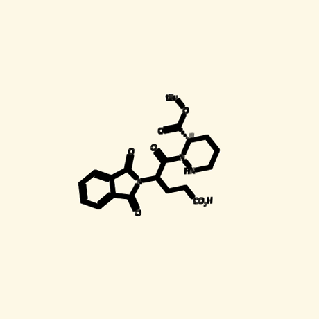 CC(C)(C)OC(=O)[C@@H]1CCCNN1C(=O)C(CCC(=O)O)N1C(=O)c2ccccc2C1=O